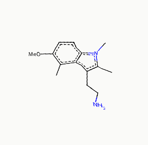 COc1ccc2c(c1C)c(CCN)c(C)n2C